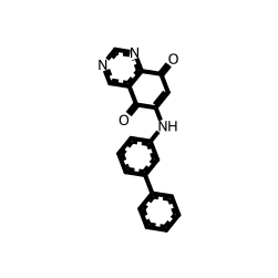 O=C1C(Nc2cccc(-c3ccccc3)c2)=CC(=O)c2ncncc21